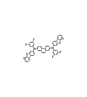 Fc1cc(F)cc(N(c2ccc3c(ccc4cc(N(c5cc(F)cc(F)c5)c5ccc6c(c5)sc5ncccc56)ccc43)c2)c2ccc3c(c2)sc2ncccc23)c1